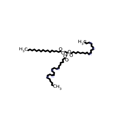 CC/C=C\C/C=C\C/C=C\CCCCCCCC(=O)O[C@@H](COC(=O)CCCCC/C=C\C/C=C\C/C=C\C/C=C\CCCCC)COC(=O)CCCCCCCCCCCCCCCC